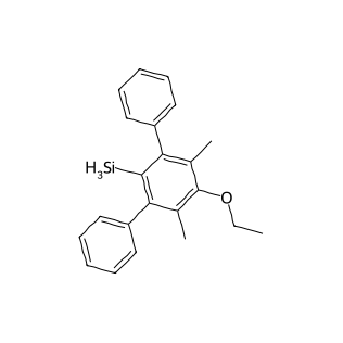 CCOc1c(C)c(-c2ccccc2)c([SiH3])c(-c2ccccc2)c1C